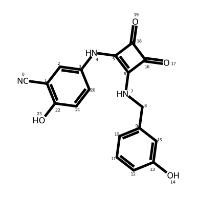 N#Cc1cc(Nc2c(NCc3cccc(O)c3)c(=O)c2=O)ccc1O